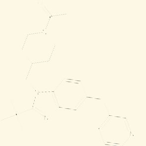 CC(=O)N1CCC(Cn2c(C(C)(C)C)nc3cc(Sc4cccnc4)ccc32)CC1